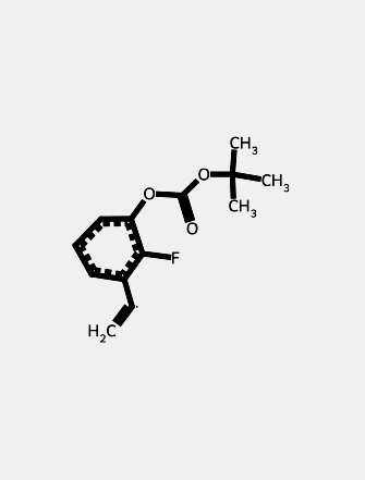 C=[C]c1cccc(OC(=O)OC(C)(C)C)c1F